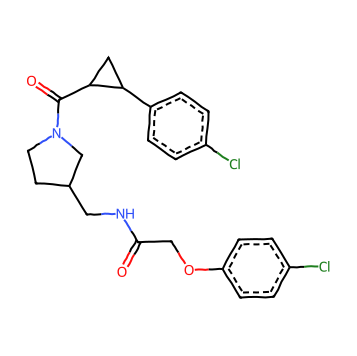 O=C(COc1ccc(Cl)cc1)NCC1CCN(C(=O)C2CC2c2ccc(Cl)cc2)C1